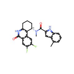 Cc1cccc2[nH]c(C(=O)N(C)[C@H]3CCCc4[nH]c(=O)c5cc(F)c(F)cc5c43)cc12